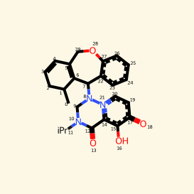 CC1CC=CC2=C1C(N1CN(C(C)C)C(=O)c3c(O)c(=O)ccn31)c1ccccc1OC2